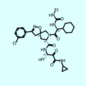 CCC[C@H](NC(=O)[C@@H]1C[C@]2(CC(c3cccc(Cl)c3)=NO2)CN1C(=O)[C@@H](NC(=O)NCC)C1CCCCC1)C(=O)C(=O)NC1CC1